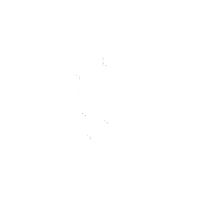 C=C1NC(=O)SC1Cc1ccnc(N(C)CCc2c[nH]c3ccccc23)n1